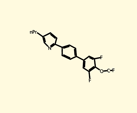 CCCc1ccc(-c2ccc(-c3cc(F)c(OCF)c(F)c3)cc2)nc1